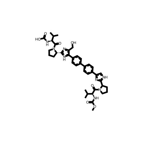 COC(=O)N[C@H](C(=O)N1CCCC1c1nc(-c2ccc(-c3ccc(-c4[nH]c([C@@H]5CCCN5C(=O)[C@@H](NC(=O)O)C(C)C)nc4CO)cc3)cc2)c[nH]1)C(C)C